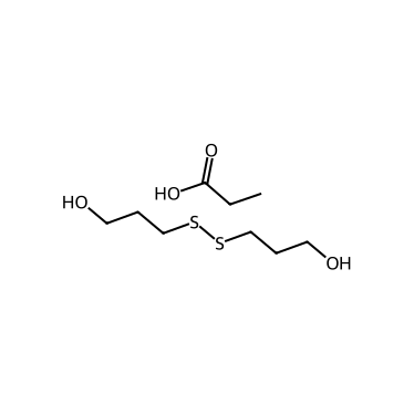 CCC(=O)O.OCCCSSCCCO